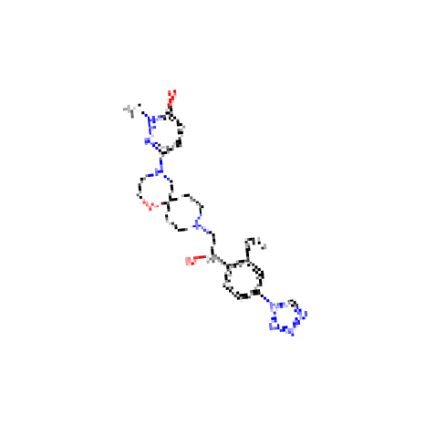 Cc1cc(-n2cnnn2)ccc1[C@@H](O)CN1CCC2(CC1)CN(c1ccc(=O)n(C)n1)CCO2